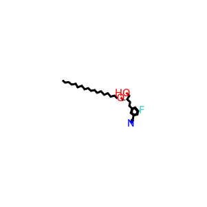 CCCCCCCCCCCCCCCCCCOC[C@H](CO)CCc1cc(F)cc(C#N)c1